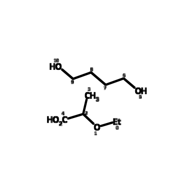 CCOC(C)C(=O)O.OCCCCO